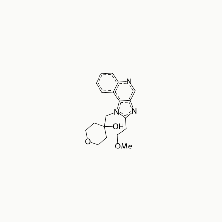 COCCc1nc2cnc3ccccc3c2n1CC1(O)CCOCC1